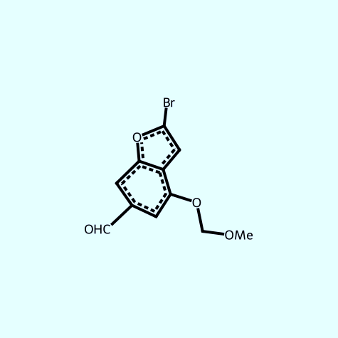 COCOc1cc(C=O)cc2oc(Br)cc12